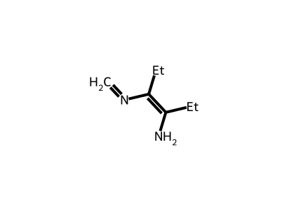 C=N/C(CC)=C(\N)CC